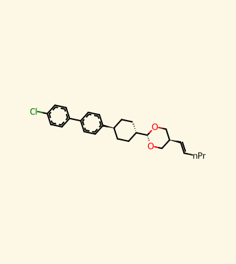 CCC/C=C/[C@H]1CO[C@H]([C@H]2CC[C@H](c3ccc(-c4ccc(Cl)cc4)cc3)CC2)OC1